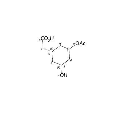 CC(=O)OC1C[C@H](O)C[C@H](CC(=O)O)C1